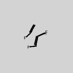 C=CF.FC=CF